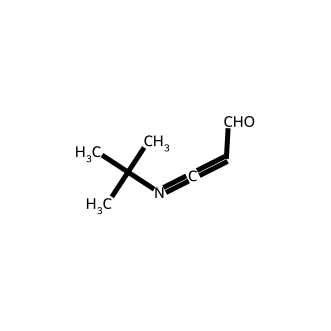 CC(C)(C)N=C=CC=O